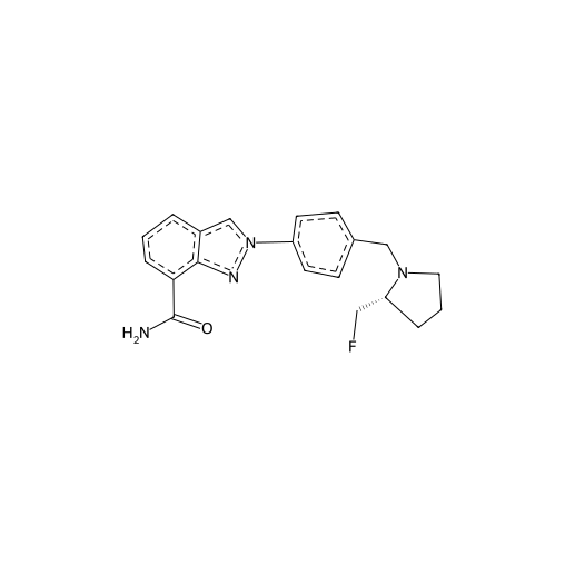 NC(=O)c1cccc2cn(-c3ccc(CN4CCC[C@@H]4CF)cc3)nc12